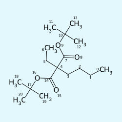 CCCCC(CC)(C(=O)OC(C)(C)C)C(=O)OC(C)(C)C